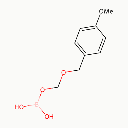 COc1ccc(COCOB(O)O)cc1